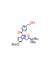 CCCCN(CCCC)C(=O)Cn1nc(C(=O)c2ccc(CCO)nc2)c2ccc(OC)cc21